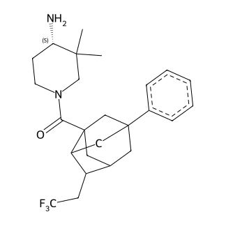 CC1(C)CN(C(=O)C23CC4CC(c5ccccc5)(CC2C4CC(F)(F)F)C3)CC[C@@H]1N